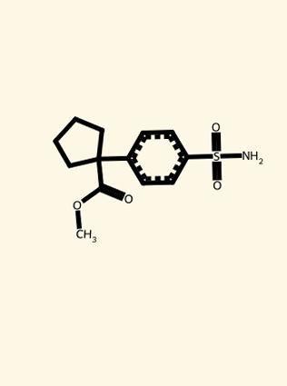 COC(=O)C1(c2ccc(S(N)(=O)=O)cc2)CCCC1